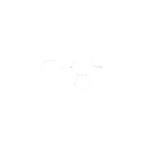 CC(C)CNC(=O)N1CCC[C@H]1C(=O)O